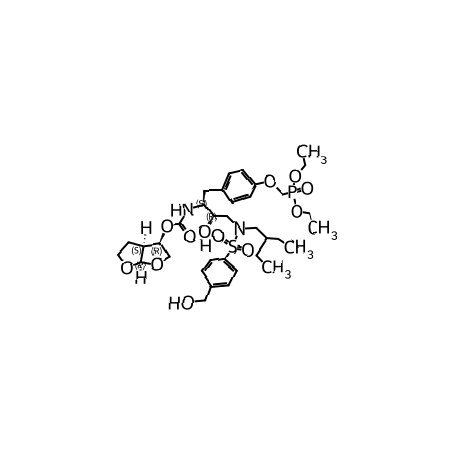 CCOP(=O)(COc1ccc(C[C@H](NC(=O)O[C@H]2CO[C@H]3OCC[C@H]32)[C@H](O)CN(CC(CC)CC)S(=O)(=O)c2ccc(CO)cc2)cc1)OCC